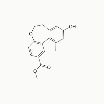 COC(=O)c1ccc2c(c1)-c1c(C)cc(O)cc1CCO2